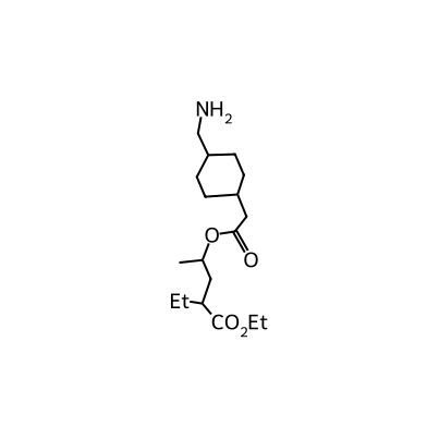 CCOC(=O)C(CC)CC(C)OC(=O)CC1CCC(CN)CC1